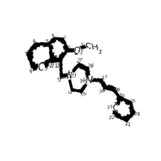 COc1ccc2ccccc2c1CN1CCN(C/C=C/c2ccccc2)CC1